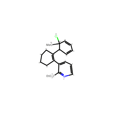 CCOC(=O)c1ncccc1C1=C(C2C=CC=CC2(Cl)OC)CCCC1